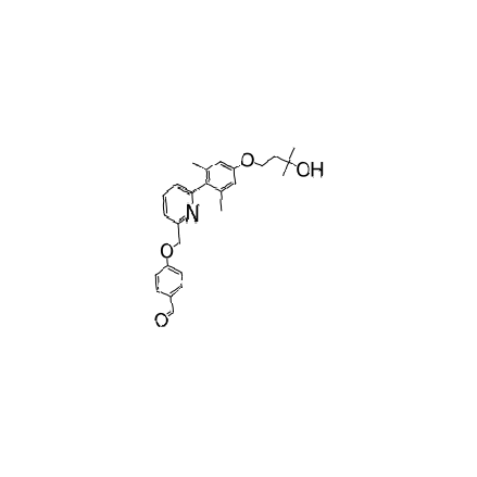 Cc1cc(OCCC(C)(C)O)cc(C)c1-c1cccc(COc2ccc(C=O)cc2)n1